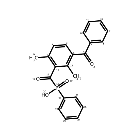 Cc1ccc(C(=O)c2ccccc2)c(C)c1C(=O)P(=O)(O)c1ccccc1